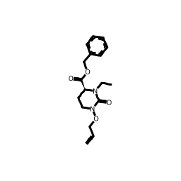 C=CCON1CC[C@@H](C(=O)OCc2ccccc2)N(CC)C1=O